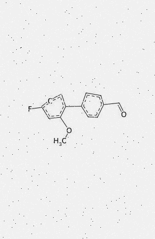 COc1cc(F)ccc1-c1ccc(C=O)cc1